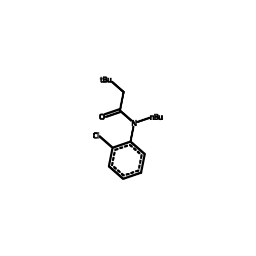 CCCCN(C(=O)CC(C)(C)C)c1ccccc1Cl